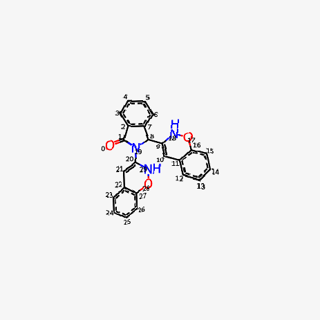 O=C1c2ccccc2C(C2=Cc3ccccc3ON2)N1C1=Cc2ccccc2ON1